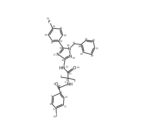 CC(C)(NC(=O)c1ccc(I)cc1)C(=O)Nc1nc(-c2ccc(F)cc2)n(Cc2ccccc2)n1